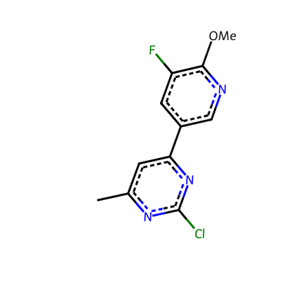 COc1ncc(-c2cc(C)nc(Cl)n2)cc1F